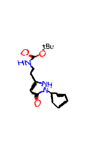 CC(C)(C)OC(=O)NCCc1cc(=O)n(-c2ccccc2)[nH]1